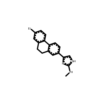 CCc1ccc2c(c1)CCc1cc(-c3c[nH]c(PC)n3)ccc1-2